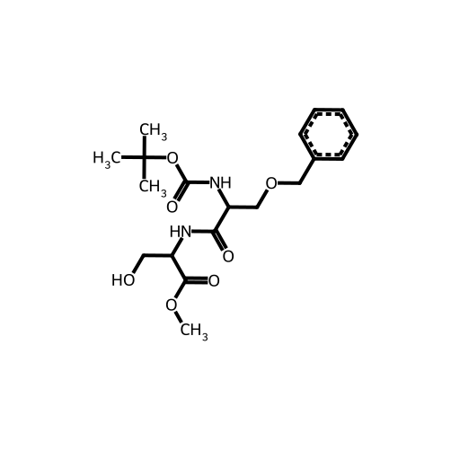 COC(=O)C(CO)NC(=O)C(COCc1ccccc1)NC(=O)OC(C)(C)C